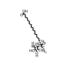 CCC(=O)O.CCC(=O)O.CCCCCCCCCCCCCCCCCC(=O)O.OCC(O)CO